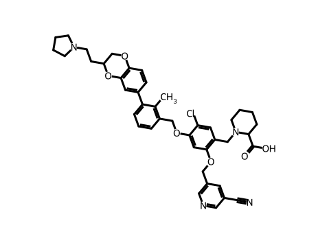 Cc1c(COc2cc(OCc3cncc(C#N)c3)c(CN3CCCCC3C(=O)O)cc2Cl)cccc1-c1ccc2c(c1)OC(CCN1CCCC1)CO2